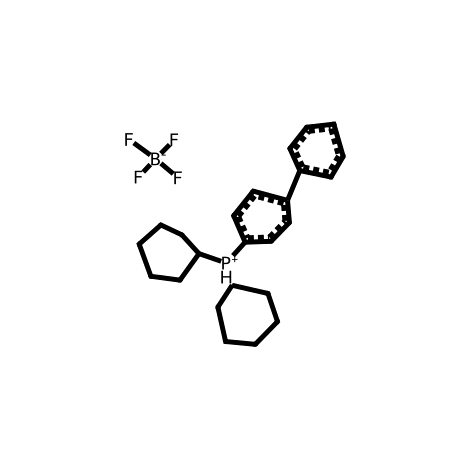 F[B-](F)(F)F.c1ccc(-c2ccc([PH+](C3CCCCC3)C3CCCCC3)cc2)cc1